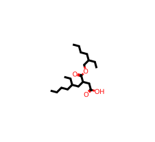 CCCCC(CC)COC(=O)C(CC(=O)O)CC(CC)CCCC